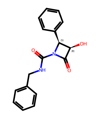 O=C(NCc1ccccc1)N1C(=O)[C@H](O)[C@@H]1c1ccccc1